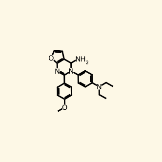 CCN(CC)c1ccc(N2C(c3ccc(OC)cc3)=Nc3occc3C2N)cc1